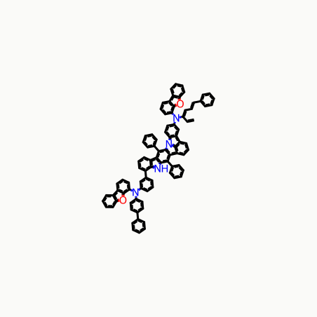 C=C/C(=C\C=C\c1ccccc1)N(c1ccc2c(c1)c1cccc3c4c(-c5ccccc5)c5[nH]c6c(-c7cccc(N(c8ccc(-c9ccccc9)cc8)c8cccc9c8oc8ccccc89)c7)cccc6c5c(-c5ccccc5)c4n2c13)c1cccc2c1oc1ccccc12